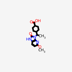 COc1ccc2[nH]c(=O)n(C(C)C3CCC(C(=O)O)CC3)c2n1